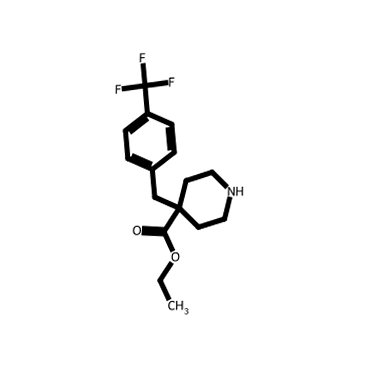 CCOC(=O)C1(Cc2ccc(C(F)(F)F)cc2)CCNCC1